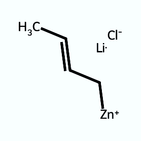 C/C=C/[CH2][Zn+].[Cl-].[Li]